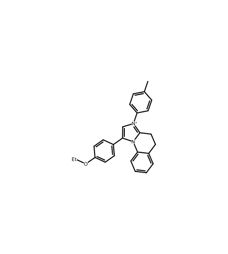 CCOc1ccc(-c2c[n+](-c3ccc(C)cc3)c3n2-c2ccccc2CC3)cc1